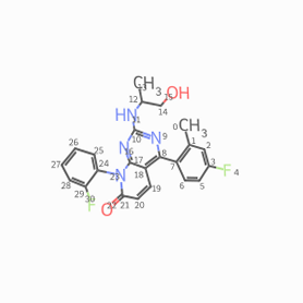 Cc1cc(F)ccc1-c1nc(NC(C)CO)nc2c1ccc(=O)n2-c1ccccc1F